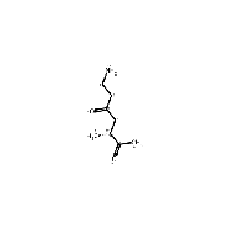 CC(=O)[C@H](C)CC(=O)CCN